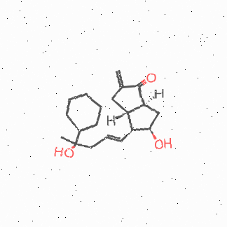 C=C1C[C@H]2[C@H](C=CCC(C)(O)C3CCCCC3)[C@H](O)C[C@@H]2C1=O